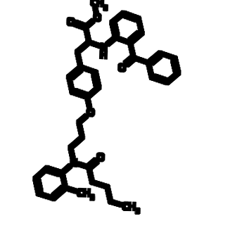 CCCCC(=O)N(CCCOc1ccc(CC(Nc2ccccc2C(=O)c2ccccc2)C(=O)OC)cc1)c1ccccc1C